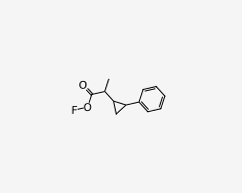 CC(C(=O)OF)C1CC1c1ccccc1